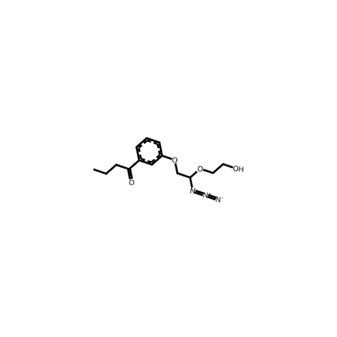 CCCC(=O)c1cccc(OCC(N=[N+]=[N-])OCCO)c1